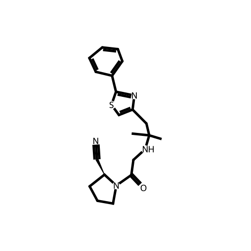 CC(C)(Cc1csc(-c2ccccc2)n1)NCC(=O)N1CCC[C@H]1C#N